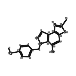 COc1ccc(Cn2ncc3c4nc(C)sc4cc(Br)c32)cc1